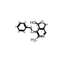 Cc1ncc2c(c1OCc1ccccc1)C(O)OC2